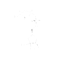 C[C@@H]1O[C@H](COP(=O)(O)OP(=O)(O)OP(=O)(O)O)CC1(C)C